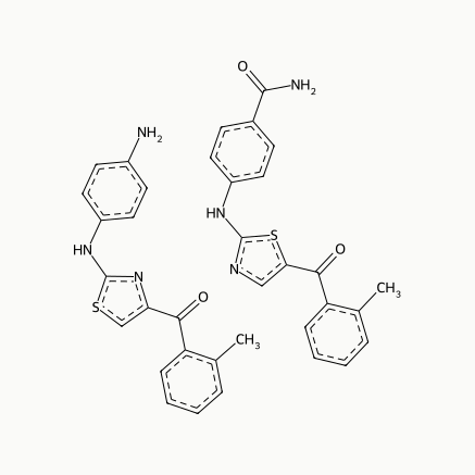 Cc1ccccc1C(=O)c1cnc(Nc2ccc(C(N)=O)cc2)s1.Cc1ccccc1C(=O)c1csc(Nc2ccc(N)cc2)n1